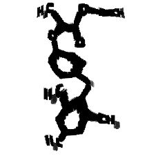 C#COC(=O)C(C)Oc1ccc([I+]c2c(C)cc(C)cc2C)cc1